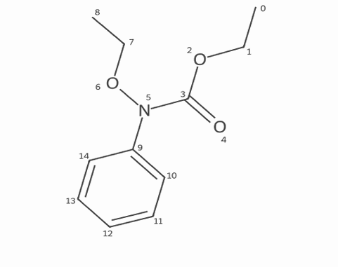 CCOC(=O)N(OCC)c1ccccc1